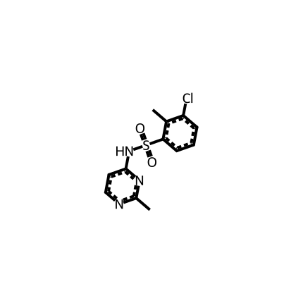 Cc1nccc(NS(=O)(=O)c2cccc(Cl)c2C)n1